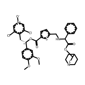 COc1ccc([C@H](Cc2c(Cl)c[n+]([O-])cc2Cl)OC(=O)c2ccc(CNC(C(=O)OC3CN4CCC3CC4)c3ccccc3)s2)cc1OC